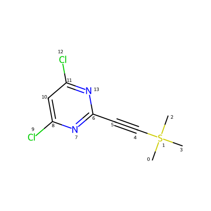 CS(C)(C)C#Cc1nc(Cl)cc(Cl)n1